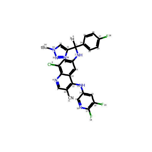 [2H]C(Nc1cc(Cl)c2ncc(C#N)c(Nc3cnc(F)c(F)c3)c2c1)(c1ccc(F)cc1)c1cn(C(C)(C)C)nn1